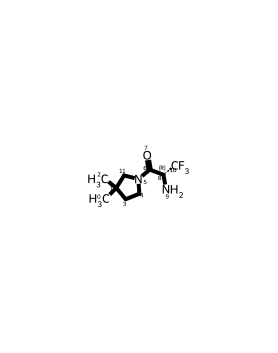 CC1(C)CCN(C(=O)[C@@H](N)C(F)(F)F)C1